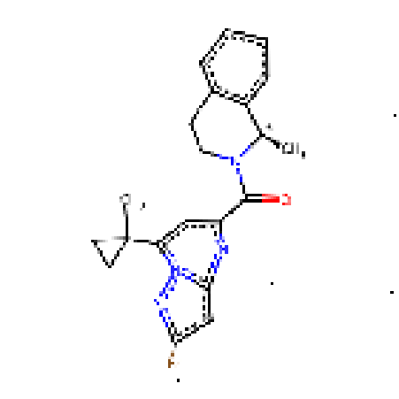 C[C@@H]1c2ccccc2CCN1C(=O)c1cc(C2(C)CC2)n2nc(Br)cc2n1